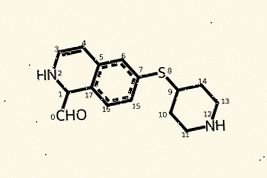 O=CC1NC=Cc2cc(SC3CCNCC3)ccc21